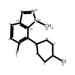 CCC1CCC(c2c(F)ccc3cnn(C)c23)CC1